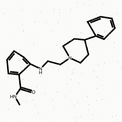 CNC(=O)c1ccccc1NCCN1CCC(c2ccccc2)CC1